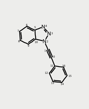 C(#Cn1nnc2ccccc21)c1ccccc1